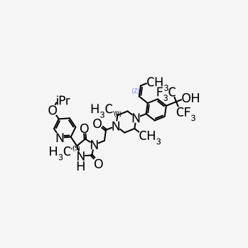 C/C=C\c1cc(C(O)(C(F)(F)F)C(F)(F)F)ccc1N1C[C@@H](C)N(C(=O)CN2C(=O)N[C@@](C)(c3ccc(OC(C)C)cn3)C2=O)CC1C